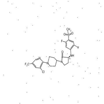 CS(=O)(=O)c1cc(F)c(N[C@H]2CCN(C3CCN(c4ncc(C(F)(F)F)cc4Cl)CC3)C2=O)cc1F